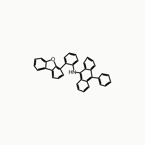 c1ccc(-c2c3ccccc3c(Nc3ccccc3-c3cccc4c3oc3ccccc34)c3ccccc23)cc1